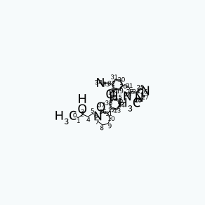 CCC(O)CCN1CCCCC(c2cccc(Oc3cc(CC(N)c4cncn4C)ccc3C#N)c2)C1=O